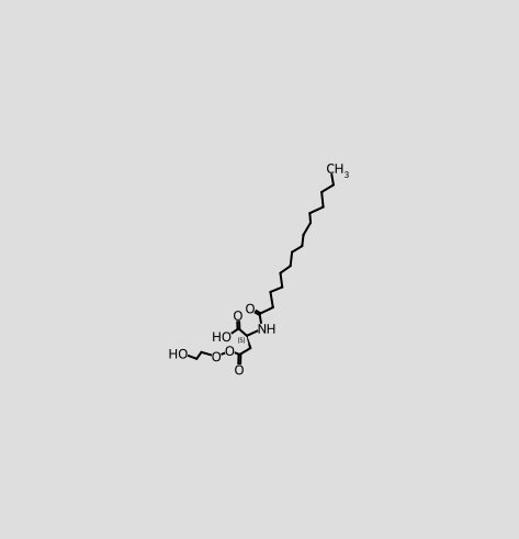 CCCCCCCCCCCCCCC(=O)N[C@@H](CC(=O)OOCCO)C(=O)O